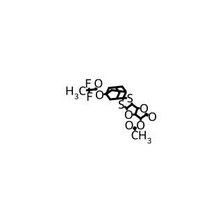 CC(=O)OC1C(=O)OC2C1OC1SC3(SC12)C1CC2CC3CC(OC(=O)C(C)(F)F)(C2)C1